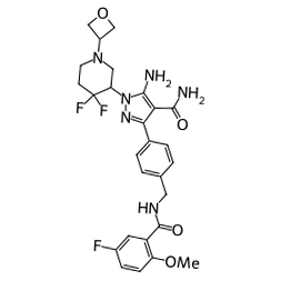 COc1ccc(F)cc1C(=O)NCc1ccc(-c2nn(C3CN(C4COC4)CCC3(F)F)c(N)c2C(N)=O)cc1